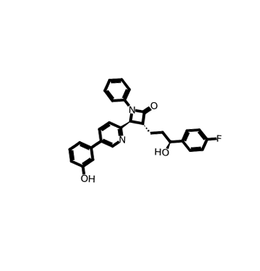 O=C1[C@H](CC[C@H](O)c2ccc(F)cc2)[C@@H](c2ccc(-c3cccc(O)c3)cn2)N1c1ccccc1